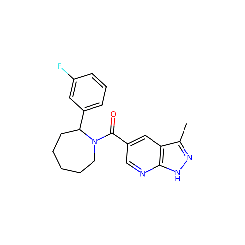 Cc1n[nH]c2ncc(C(=O)N3CCCCCC3c3cccc(F)c3)cc12